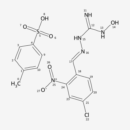 Cc1ccc(S(=O)(=O)O)cc1.N=C(NO)NN=Cc1ccc(Cl)cc1[N+](=O)[O-]